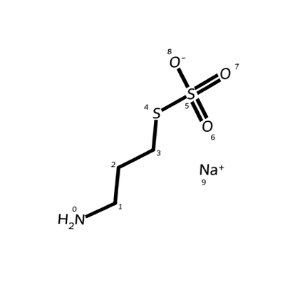 NCCCSS(=O)(=O)[O-].[Na+]